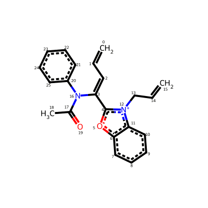 C=CC=C(c1oc2ccccc2[n+]1CC=C)N(C(C)=O)c1ccccc1